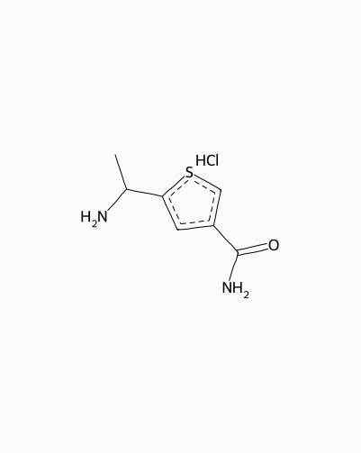 CC(N)c1cc(C(N)=O)cs1.Cl